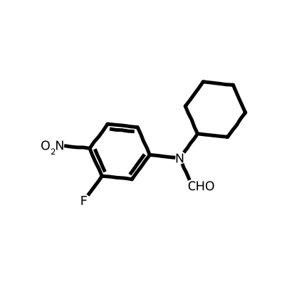 O=CN(c1ccc([N+](=O)[O-])c(F)c1)C1CCCCC1